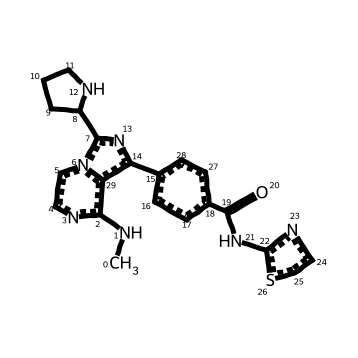 CNc1nccn2c(C3CCCN3)nc(-c3ccc(C(=O)Nc4nccs4)cc3)c12